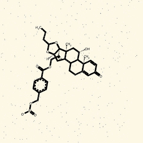 CCCC1O[C@@H]2CC3C4CCC5=CC(=O)C=C[C@]5(C)C4[C@@H](O)C[C@]3(C)[C@]2(C(=O)COC(=O)c2ccc(CO[N+](=O)[O-])cc2)O1